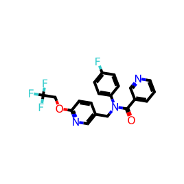 O=C(c1cccnc1)N(Cc1ccc(OCC(F)(F)F)nc1)c1ccc(F)cc1